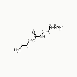 CCCCOC(=O)NCCN=[N+]=[N-]